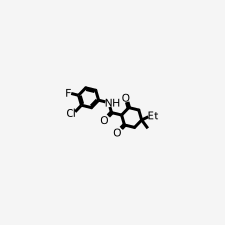 CCC1(C)CC(=O)C(C(=O)Nc2ccc(F)c(Cl)c2)C(=O)C1